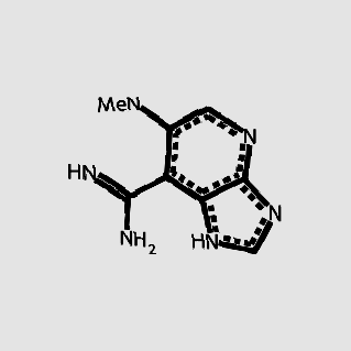 CNc1cnc2nc[nH]c2c1C(=N)N